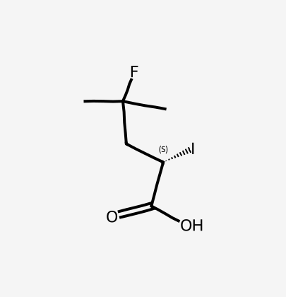 CC(C)(F)C[C@H](I)C(=O)O